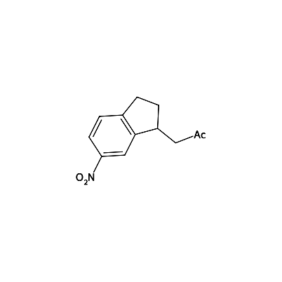 CC(=O)CC1CCc2ccc([N+](=O)[O-])cc21